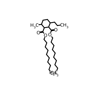 CCCCCCCCCCOC(=O)C1C(C)CCC(CCC)C1C(=O)OCCCCCCCCCC